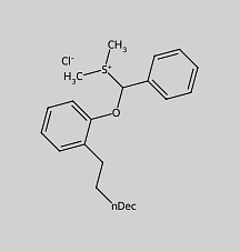 CCCCCCCCCCCCc1ccccc1OC(c1ccccc1)[S+](C)C.[Cl-]